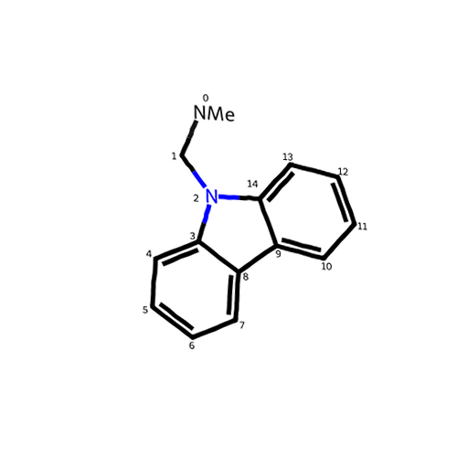 CNCn1c2ccccc2c2ccccc21